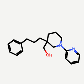 OCC1(CCCc2ccccc2)CCCN(c2ccccn2)C1